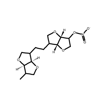 CC1CO[C@@H]2C(CCC3CO[C@@H]4C(O[N+](=O)[O-])CO[C@H]34)CO[C@H]12